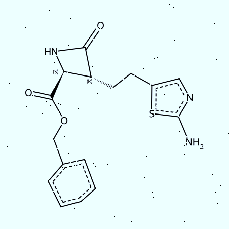 Nc1ncc(CC[C@H]2C(=O)N[C@@H]2C(=O)OCc2ccccc2)s1